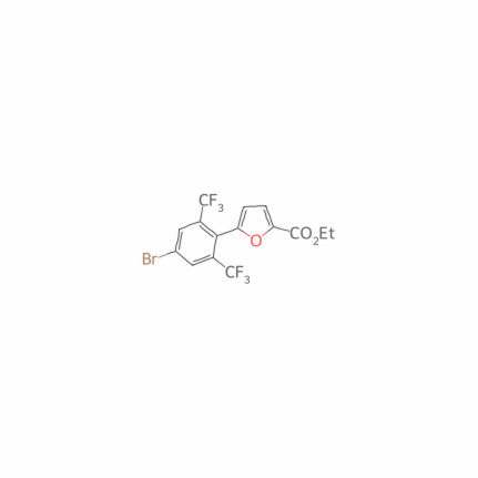 CCOC(=O)c1ccc(-c2c(C(F)(F)F)cc(Br)cc2C(F)(F)F)o1